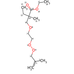 C=C(C)COOCCOCC(C)(CC)C(=O)OCC